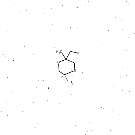 C[C@@H]1COC(C)(CI)CS1